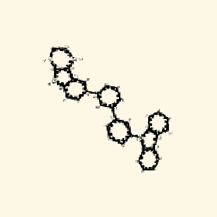 c1cc(-c2cccc(-n3c4ccccc4c4ccccc43)c2)cc(-c2ccc3oc4nccnc4c3c2)c1